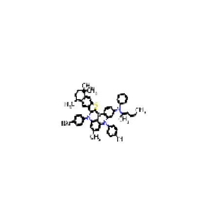 C/C=C\C=C(/C)N(c1ccccc1)C1C=CC2=C(C1)N(c1ccc(CC)cc1)c1cc(C)cc3c1B2c1sc2cc4c(cc2c1N3c1ccc(C(C)(C)C)cc1)C(C)CCC4(C)C